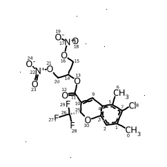 Cc1cc2c(c(C)c1Cl)C=C(C(=O)OC(CO[N+](=O)[O-])CO[N+](=O)[O-])[C@@H](C(F)(F)F)O2